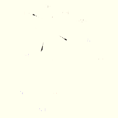 COc1nc(C(F)(F)F)ccc1[C@H]1[C@@H](C(=O)Nc2ccnc(C(N)=O)c2)O[C@@](C)(C(F)(F)F)[C@@H]1C